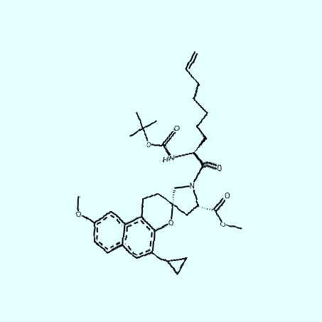 C=CCCCCC[C@H](NC(=O)OC(C)(C)C)C(=O)N1C[C@]2(CCc3c(c(C4CC4)cc4ccc(OC)cc34)O2)C[C@H]1C(=O)OC